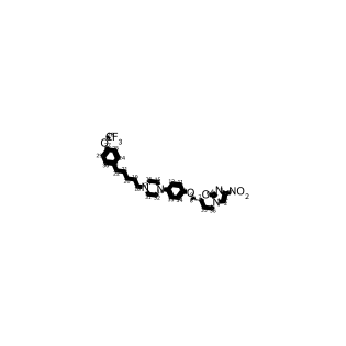 O=[N+]([O-])c1cn2c(n1)O[C@@H](COc1ccc(N3CCN(CCCCCc4ccc(OC(F)(F)F)cc4)CC3)cc1)CC2